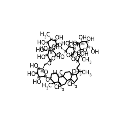 C[C@@H]1[C@@H](O)[C@H](OC[C@H]2O[C@@H](O[C@H](CC[C@@H](C)C3CC[C@@]4(C)C5CC=C6C(CC[C@H](O[C@@H]7O[C@H](CO[C@@H]8O[C@H](CO)[C@@H](O)[C@H](O)[C@H]8O)[C@@H](O)[C@H](O)[C@H]7O)C6(C)C)[C@]5(C)CC[C@]34C)C(C)(C)O)[C@H](O[C@H]3O[C@@H](CO)[C@H](O)[C@@H](O)[C@@H]3O)[C@@H](O)[C@@H]2O)O[C@H](CO)[C@H]1O